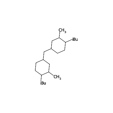 CCC(C)C1CCC(CC2CCC(C(C)CC)C(C)C2)CC1C